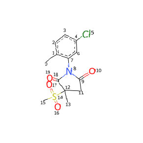 Cc1ccc(Cl)cc1N1C(=O)CC(C)(S(C)(=O)=O)C1=O